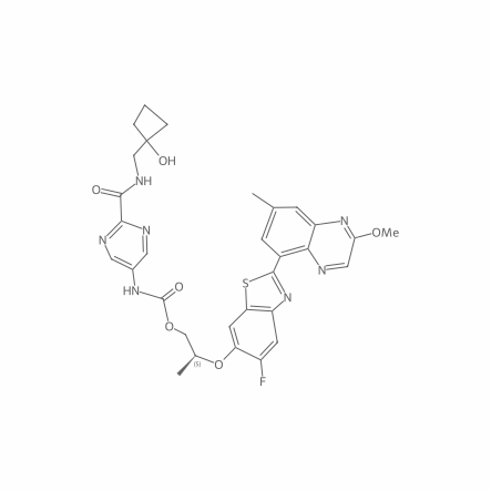 COc1cnc2c(-c3nc4cc(F)c(O[C@@H](C)COC(=O)Nc5cnc(C(=O)NCC6(O)CCC6)nc5)cc4s3)cc(C)cc2n1